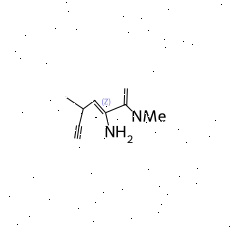 C#CC(C)/C=C(\N)C(=C)NC